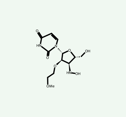 COCCO[C@@H]1[C@H](NO)[C@@H](CO)O[C@H]1n1ccc(=O)[nH]c1=O